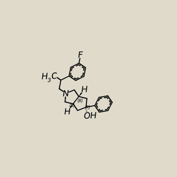 CC(CN1C[C@@H]2C[C@@](O)(c3ccccc3)C[C@@H]2C1)c1cccc(F)c1